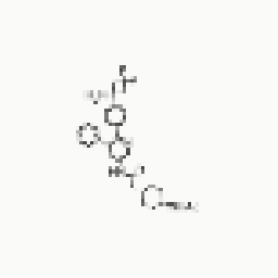 CC(=O)N[C@H]1CC[C@H](CC(=O)Nc2cnc(-c3ccc(C4(N)CC(F)(F)C4)cc3)c(-c3ccccc3)c2)CC1